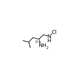 CC(C)C[C@H](N)CNCl